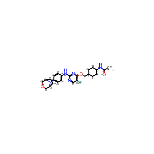 O=C(NC1CCC(COc2nc(Nc3ccc(N4C5CCC4COC5)cc3)ncc2F)CC1)C(F)(F)F